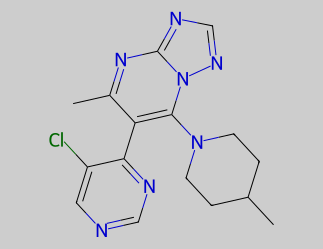 Cc1nc2ncnn2c(N2CCC(C)CC2)c1-c1ncncc1Cl